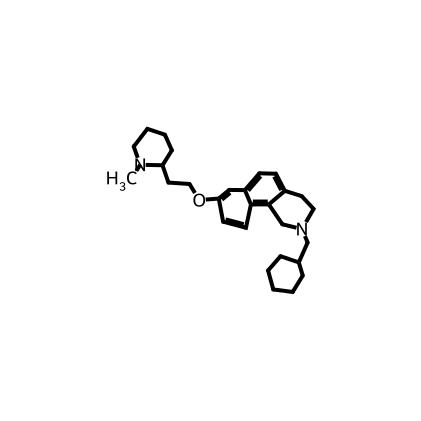 CN1CCCCC1CCOc1ccc2c3c(ccc2c1)CCN(CC1CCCCC1)C3